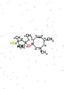 CCC(C)(CC(C)(C)S)OC1C/C=C\C(C)CC(C)C1